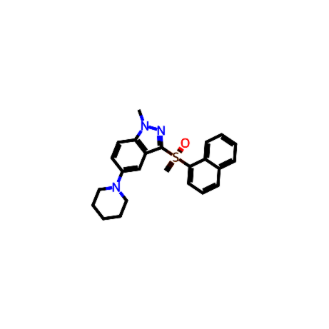 C=S(=O)(c1cccc2ccccc12)c1nn(C)c2ccc(N3CCCCC3)cc12